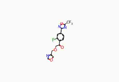 O=C(COCc1cocn1)c1ccc(-c2noc(C(F)(F)F)n2)cc1F